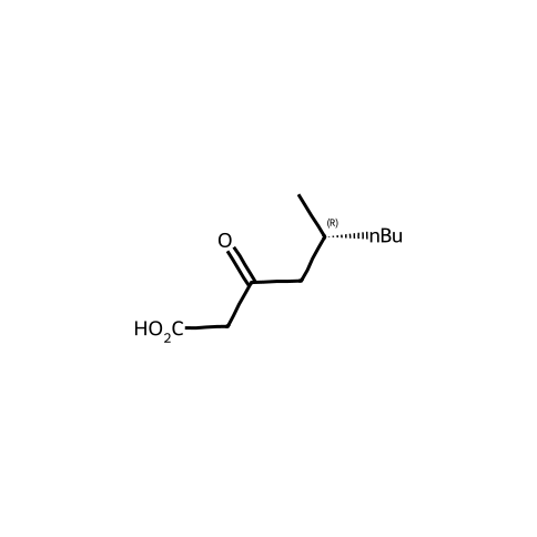 CCCC[C@@H](C)CC(=O)CC(=O)O